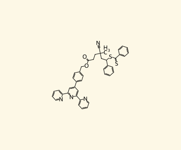 CC(C#N)(CCC(=O)OCc1ccc(-c2cc(-c3ccccn3)nc(-c3ccccn3)c2)cc1)CC(SC(=S)c1ccccc1)c1ccccc1